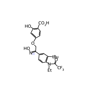 CCN(C(=O)C(F)(F)F)c1ccc(/C(COc2ccc(C(=O)O)c(O)c2)=N/O)cc1C(C)(C)C